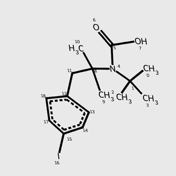 CC(C)(C)N(C(=O)O)C(C)(C)Cc1ccc(I)cc1